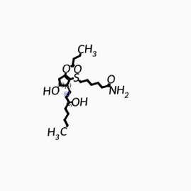 CCCCC[C@H](O)/C=C/[C@@H]1C(SCCCCCC(N)=O)=C(OC(=O)CCC)C[C@H]1O